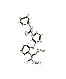 CO/C=C(/C(=O)OC)c1ccccc1Oc1cccc(C(=O)Oc2ccccc2)c1